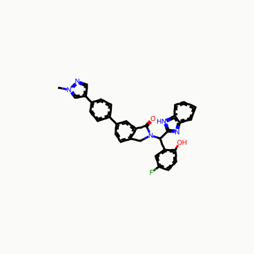 Cn1cc(-c2ccc(-c3ccc4c(c3)C(=O)N(C(c3nc5ccccc5[nH]3)c3cc(F)ccc3O)C4)cc2)cn1